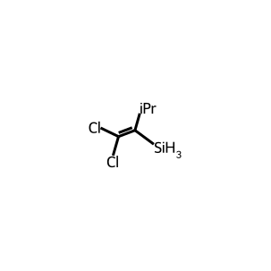 CC(C)C([SiH3])=C(Cl)Cl